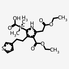 CCOC(=O)Cc1[nH]c([N+](C)(C)C(=O)O)c(CCc2ccsc2)c1C(=O)OCC